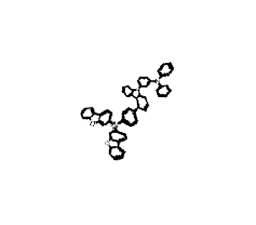 c1ccc(N(c2ccccc2)c2cccc(-n3c4ccccc4c4c(-c5ccc(N(c6ccc7c(c6)oc6ccccc67)c6ccc7c(c6)oc6ccccc67)cc5)cccc43)c2)cc1